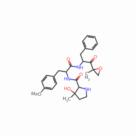 COc1ccc(CC(NC(=O)C2NCCC2(C)O)C(=O)NC(Cc2ccccc2)C(=O)C2(C)CO2)cc1